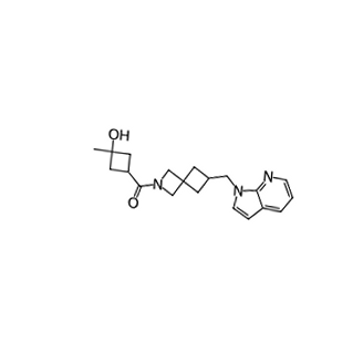 CC1(O)CC(C(=O)N2CC3(CC(Cn4ccc5cccnc54)C3)C2)C1